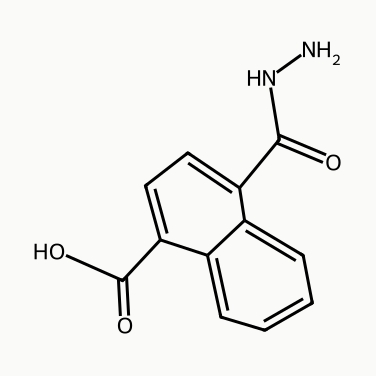 NNC(=O)c1ccc(C(=O)O)c2ccccc12